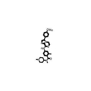 COc1ccc(-c2cnc3c(Nc4ccc(C(=O)N(C)C5CCN(C)CC5)c(C)c4)nccn23)cc1